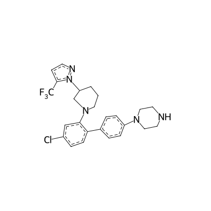 FC(F)(F)c1ccnn1C1CCCN(c2cc(Cl)ccc2-c2ccc(N3CCNCC3)cc2)C1